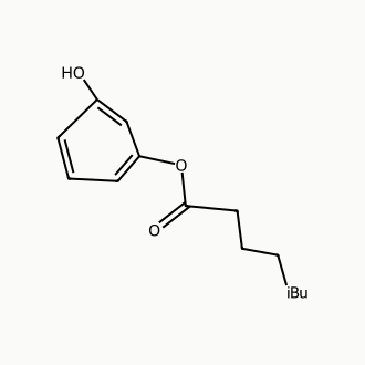 CCC(C)CCCC(=O)Oc1cccc(O)c1